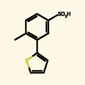 Cc1ccc(S(=O)(=O)O)cc1-c1cccs1